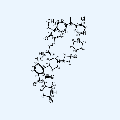 CCn1c(=O)c(OCC(=O)NC)cc2cc(Nc3nc(N4CCC(O[C@H]5C[C@H](N6CCC(c7cccc8c7C(=O)N(C7CCC(=O)NC7=O)C8=O)CC6)C5)CC4)ncc3Cl)ccc21